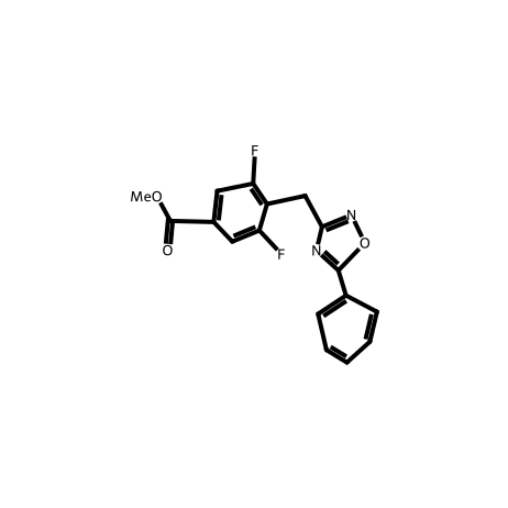 COC(=O)c1cc(F)c(Cc2noc(-c3ccccc3)n2)c(F)c1